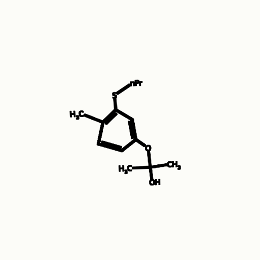 CCCSc1cc(OC(C)(C)O)ccc1C